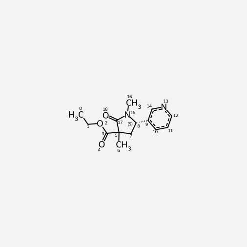 CCOC(=O)C1(C)C[C@@H](c2cccnc2)N(C)C1=O